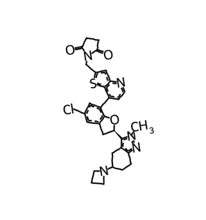 Cn1nc2c(c1[C@H]1Cc3cc(Cl)cc(-c4ccnc5cc(CN6C(=O)CCC6=O)sc45)c3O1)CC(N1CCC1)CC2